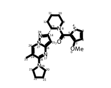 COc1ccsc1C(=O)N1CCCC[C@H]1c1cc2nc(N3CCCC3)c(C)cn2n1